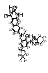 CCN(Cc1cc(C(C)(C)CC(C)(C)C)cc(-n2nc3c(n2)CCCC3)c1O)c1ccc(C=C2C(=O)NC(=O)NC2=O)cc1